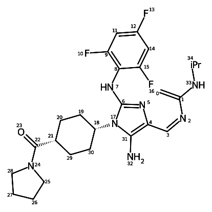 C=C(/N=C\c1nc(Nc2c(F)cc(F)cc2F)n([C@H]2CC[C@@H](C(=O)N3CCCC3)CC2)c1N)NC(C)C